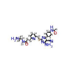 CC(=O)Nc1ccc(-c2nc(SCc3cccc(CCC(=O)N(C)CC(C)(C)N)n3)nc(N)c2C#N)cc1